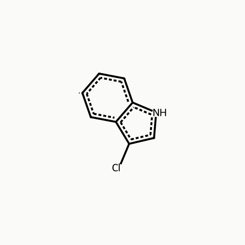 Clc1c[nH]c2cc[c]cc12